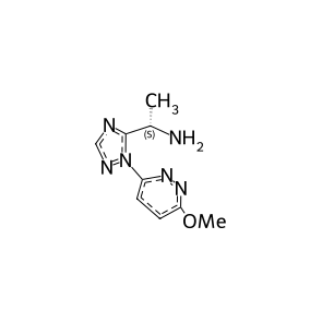 COc1ccc(-n2ncnc2[C@H](C)N)nn1